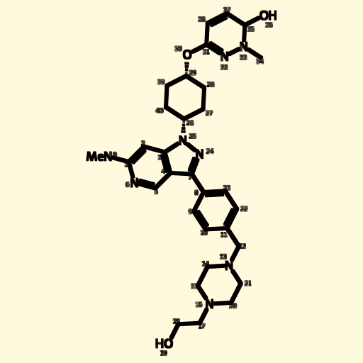 CNc1cc2c(cn1)c(-c1ccc(CN3CCN(CCO)CC3)cc1)nn2[C@H]1CC[C@@H](OC2=NN(C)C(O)C=C2)CC1